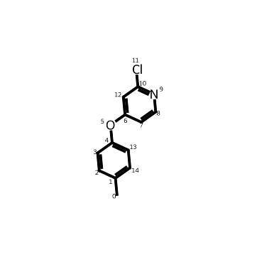 Cc1ccc(Oc2ccnc(Cl)c2)cc1